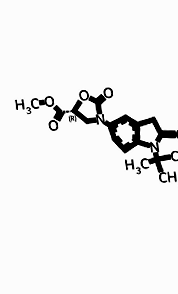 COC(=O)[C@H]1CN(c2ccc3c(c2)CC(=O)N3C(C)(C)C)C(=O)O1